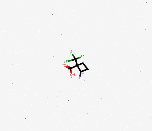 O=C(O)C1(C(F)(F)F)CCC1I